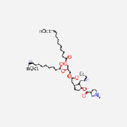 CC/C=C\CC1C(CC(=O)OCC(COC(=O)CCCCCCC/C=C\CCCCCCCC)OC(=O)CCCCCCC/C=C\CCCCCCCC)CCC1OC(=O)C1CCN(C)C1